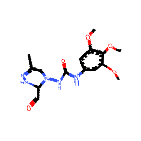 COc1cc(NC(=O)NN2CC(C)=NNC2C=O)cc(OC)c1OC